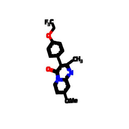 COc1ccn2c(=O)c(-c3ccc(OCC(F)(F)F)cc3)c(C)nc2c1